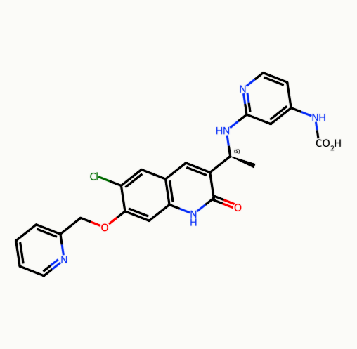 C[C@H](Nc1cc(NC(=O)O)ccn1)c1cc2cc(Cl)c(OCc3ccccn3)cc2[nH]c1=O